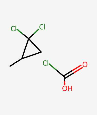 CC1CC1(Cl)Cl.O=C(O)Cl